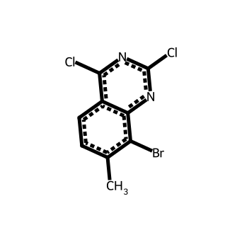 Cc1ccc2c(Cl)nc(Cl)nc2c1Br